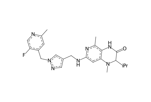 Cc1cc(Cn2cc(CNc3cc4c(c(C)n3)NC(=O)C(C(C)C)N4C)cn2)c(F)cn1